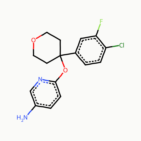 Nc1ccc(OC2(c3ccc(Cl)c(F)c3)CCOCC2)nc1